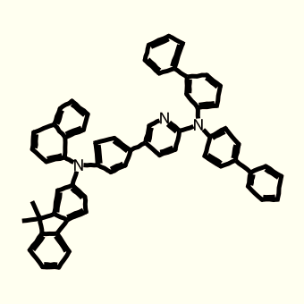 CC1(C)c2ccccc2-c2ccc(N(c3ccc(-c4ccc(N(c5ccc(-c6ccccc6)cc5)c5cccc(-c6ccccc6)c5)nc4)cc3)c3cccc4ccccc34)cc21